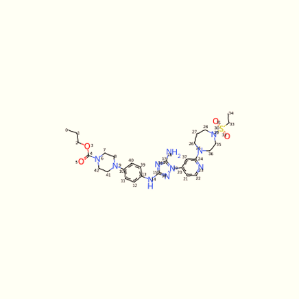 CCCOC(=O)N1CCN(c2ccc(Nc3nc(N)n(-c4ccnc(N5CCCN(S(=O)(=O)CC)CC5)c4)n3)cc2)CC1